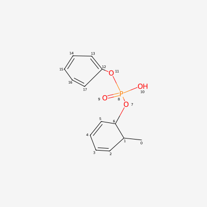 CC1C=CC=CC1OP(=O)(O)Oc1ccccc1